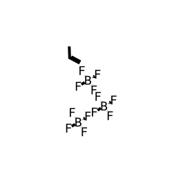 C=CC.F[B-](F)(F)F.F[B-](F)(F)F.F[B-](F)(F)F